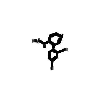 O=C(O)Nc1ccncc1-c1ccc(Cl)nc1Cl